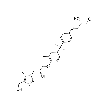 Cc1c(CO)nnn1C[C@H](O)COc1ccc(C(C)(C)c2ccc(OC[C@H](O)CCl)cc2)cc1I